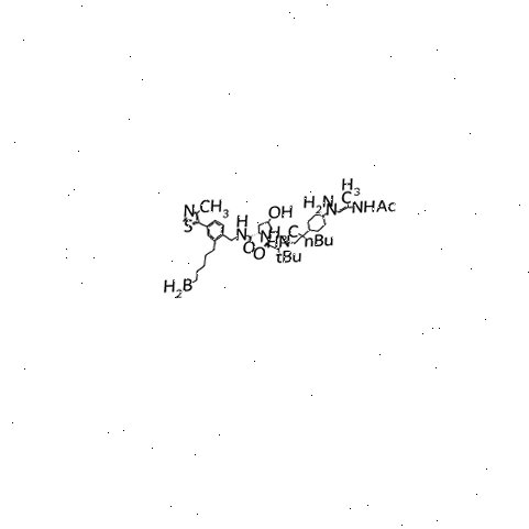 BCCCCCc1cc(-c2scnc2C)ccc1CNC(=O)[C@@H]1C[C@@H](O)CN1C(=O)[C@@H](NCC(C)(CCCC)C1CCC(N(N)/C=C(\C)NC(C)=O)CC1)C(C)(C)C